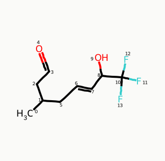 CC(CC=O)CC=CC(O)C(F)(F)F